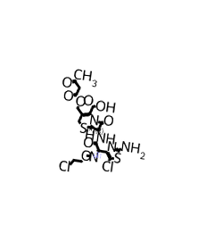 CC(=O)CC(=O)OCC1=C(C(=O)O)N2C(=O)[C@@H](NC(=O)/C(=N\OCCCl)c3nc(N)sc3Cl)[C@H]2SC1